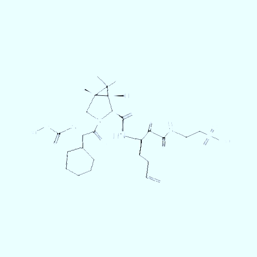 C=CCCC(NC(=O)[C@@H]1[C@@H]2[C@H](CN1C(=O)[C@@H](NC(=O)OC(C)(C)C)C1CCCCC1)C2(C)Cl)C(=O)C(=O)NCCS(=O)(=O)C(C)(C)C